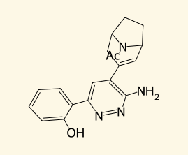 CC(=O)N1C2C=C(c3cc(-c4ccccc4O)nnc3N)CC1CC2